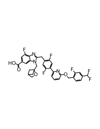 O=C(O)c1cc(F)c2nc(Cc3cc(F)c(-c4cccc(OCc5ccc(C(F)F)cc5F)n4)cc3F)n(CC34CC(CO3)C4)c2c1